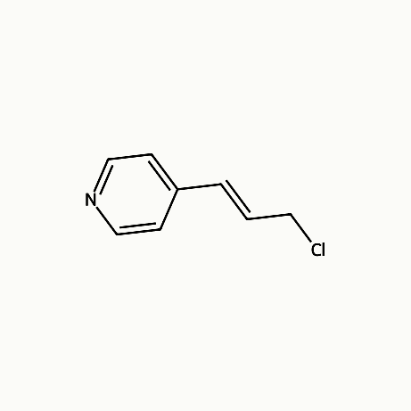 ClCC=Cc1ccncc1